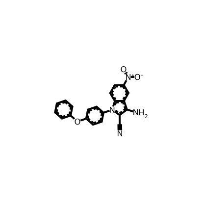 N#Cc1c(N)c2cc([N+](=O)[O-])ccc2n1-c1ccc(Oc2ccccc2)cc1